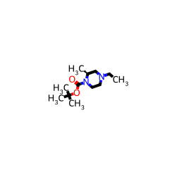 CCN1CCN(C(=O)OC(C)(C)C)[C@@H](C)C1